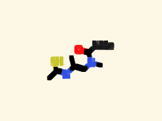 CNC(=O)N(C)/C=C(C)/N=C(/C)S